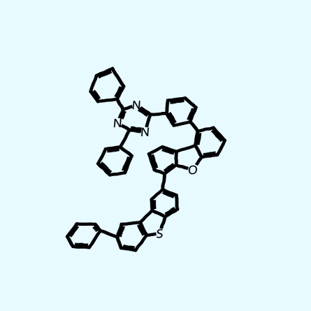 c1ccc(-c2ccc3sc4ccc(-c5cccc6c5oc5cccc(-c7cccc(-c8nc(-c9ccccc9)nc(-c9ccccc9)n8)c7)c56)cc4c3c2)cc1